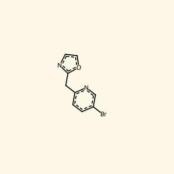 Brc1ccc(Cc2ncco2)nc1